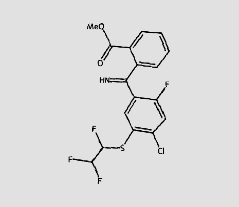 COC(=O)c1ccccc1C(=N)c1cc(SC(F)C(F)F)c(Cl)cc1F